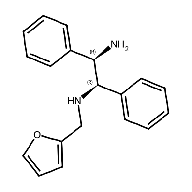 N[C@H](c1ccccc1)[C@H](NCc1ccco1)c1ccccc1